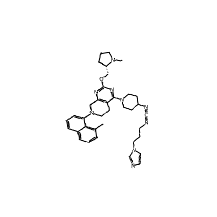 Cc1cccc2cccc(N3CCc4c(nc(OC[C@@H]5CCCN5C)nc4N4CCC(N=C=NCCCn5ccnc5)CC4)C3)c12